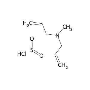 C=CCN(C)CC=C.Cl.O=S=O